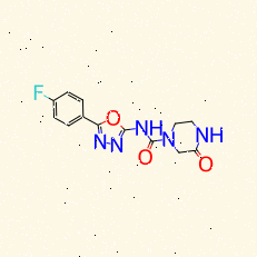 O=C1CN(C(=O)Nc2nnc(-c3ccc(F)cc3)o2)CCN1